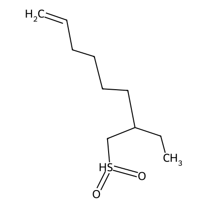 C=CCCCCC(CC)C[SH](=O)=O